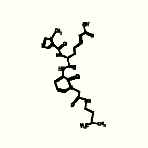 CC(C)CCNC(=O)Cn1cccc(NC(=O)C(CCC=CC(=O)O)NC(=O)c2cncn2C)c1=O